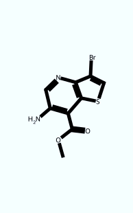 COC(=O)c1c(N)cnc2c(Br)csc12